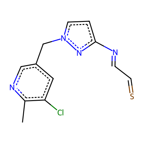 Cc1ncc(Cn2ccc(N=CC=S)n2)cc1Cl